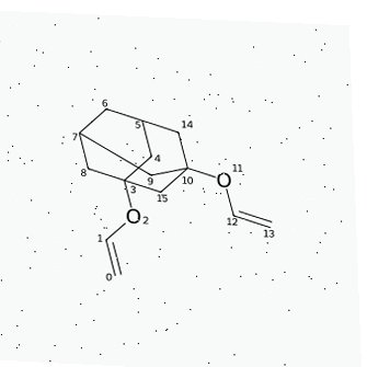 C=COC12CC3CC(C1)CC(OC=C)(C3)C2